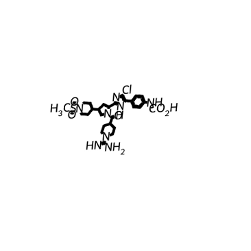 CS(=O)(=O)N1CCC(C2CC(c3nc(Cl)c(-c4ccc(NC(=O)O)cc4)[nH]3)N(C(=O)C3CCN(C(=N)N)CC3)C2)CC1